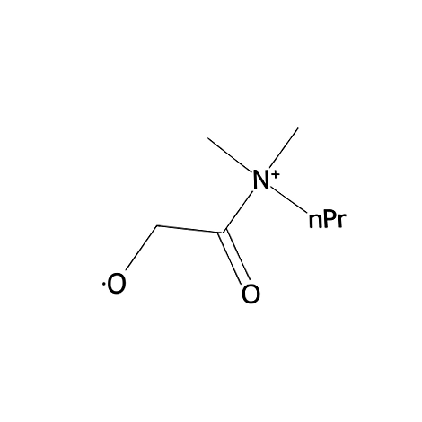 CCC[N+](C)(C)C(=O)C[O]